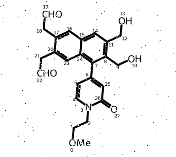 COCCn1ccc(-c2c(CO)c(CO)cc3cc(CC=O)c(CC=O)cc23)cc1=O